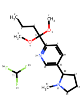 CCCC(OC)(OC)c1ccc(C2CCCN2C)cn1.FC(F)F